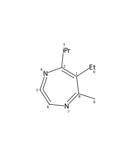 CCC1=C(C(C)C)N=C=CN=C1C